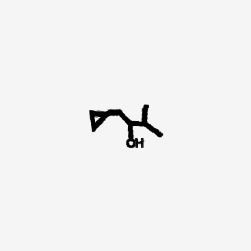 CC(C)C(O)CC1CC1